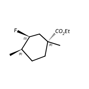 CCOC(=O)[C@]1(C)CC[C@@H](C)[C@@H](F)C1